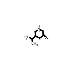 CC(C)C1CNCC(Cl)C1